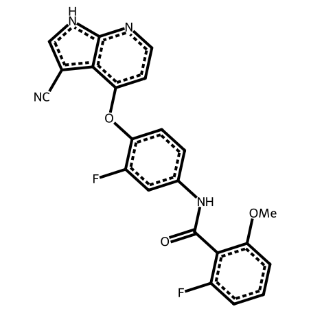 COc1cccc(F)c1C(=O)Nc1ccc(Oc2ccnc3[nH]cc(C#N)c23)c(F)c1